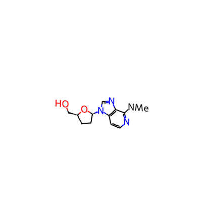 CNc1nccc2c1ncn2[C@H]1CC[C@@H](CO)O1